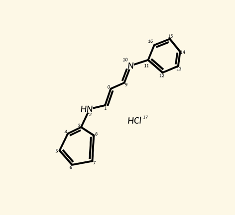 C(=CNc1ccccc1)C=Nc1ccccc1.Cl